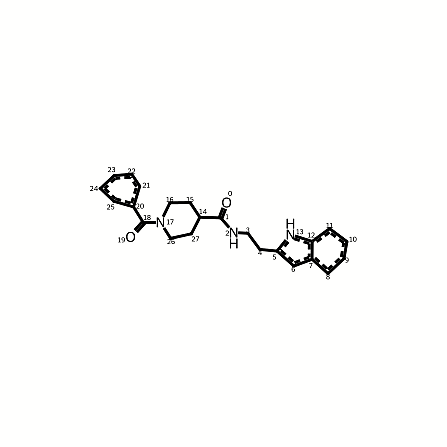 O=C(NCCc1cc2ccccc2[nH]1)C1CCN(C(=O)c2ccccc2)CC1